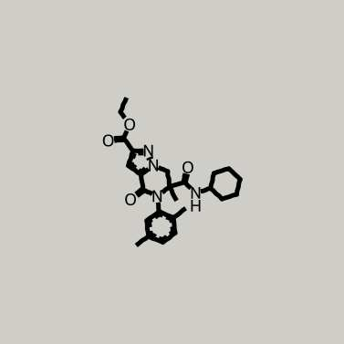 CCOC(=O)c1cc2n(n1)CC(C)(C(=O)NC1CCCCC1)N(c1cc(C)ccc1C)C2=O